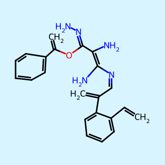 C=Cc1ccccc1C(=C)\C=N/C(N)=C(N)/C(=N/N)OC(=C)c1ccccc1